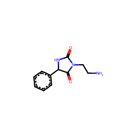 NCCN1C(=O)NC(c2ccccc2)C1=O